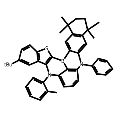 Cc1ccccc1N1c2cccc3c2B(c2cc4c(cc2N3c2ccccc2)C(C)(C)CCC4(C)C)c2sc3ccc(C(C)(C)C)cc3c21